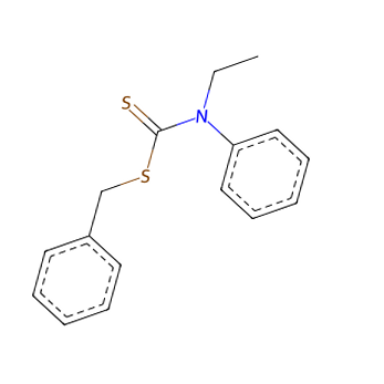 CCN(C(=S)SCc1ccccc1)c1ccccc1